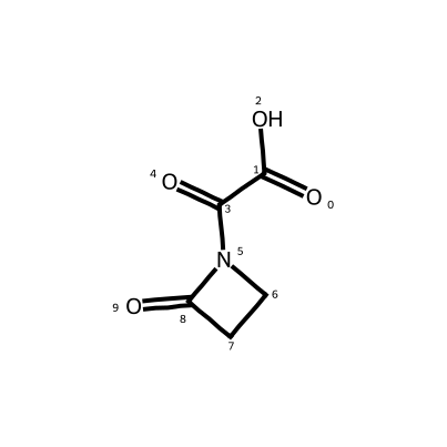 O=C(O)C(=O)N1CCC1=O